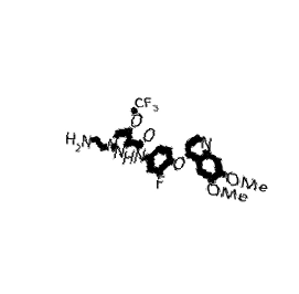 COc1cc2nccc(Oc3ccc(NC(=O)c4nn(CCN)cc4OCC(F)(F)F)cc3F)c2cc1OC